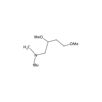 COCCC(CN(C)C(C)(C)C)OC